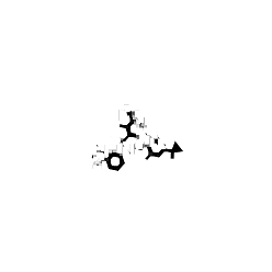 Cc1cc(C2(C)CC2)nnc1Oc1nnc(C(F)(F)F)c(C)c1C(=O)Nc1cccc(S(C)(=N)=O)c1